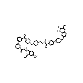 CCOc1cc(OC)ccc1CNCC(=O)N1CCC[C@@H](c2cccc(C(=O)N3CCN(CC4CCN(CCNC(=O)c5ccc(N6CCN(Cc7cnc8cc(CC)c(=O)[nH]c8c7)CC6)cn5)CC4)CC3)c2)C1